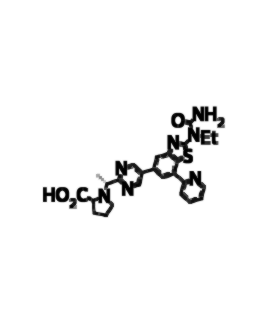 CCN(C(N)=O)c1nc2cc(-c3cnc([C@@H](C)N4CCC[C@H]4C(=O)O)nc3)cc(-c3ccccn3)c2s1